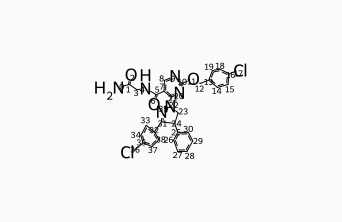 NC(=O)CNC(=O)c1cnc(OCc2ccc(Cl)cc2)nc1N1CC(c2ccccc2)C(c2ccc(Cl)cc2)=N1